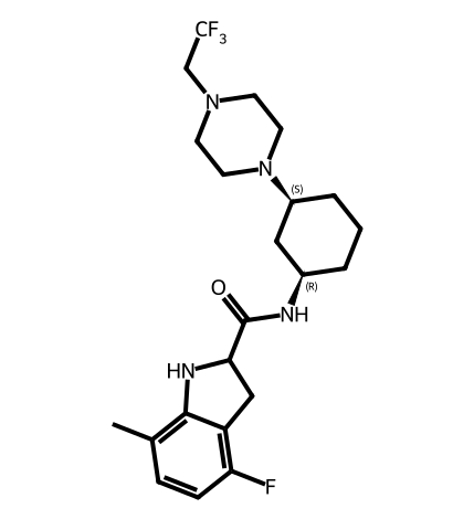 Cc1ccc(F)c2c1NC(C(=O)N[C@@H]1CCC[C@H](N3CCN(CC(F)(F)F)CC3)C1)C2